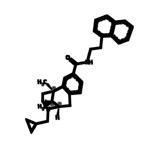 C[C@@H]1[C@H]2Cc3ccc(C(=O)NCCc4cccc5ccccc45)cc3[C@]1(C)CCN2CC1CC1